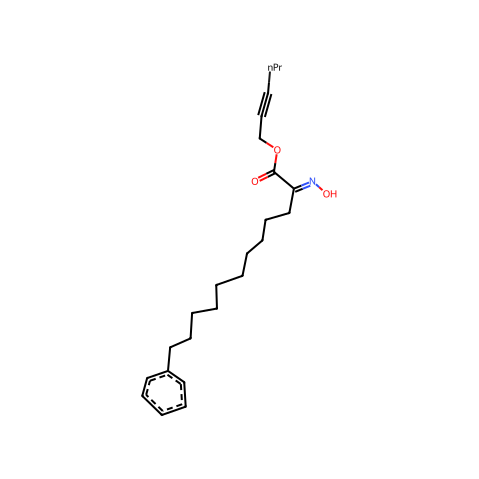 CCCC#CCOC(=O)/C(CCCCCCCCCCc1ccccc1)=N/O